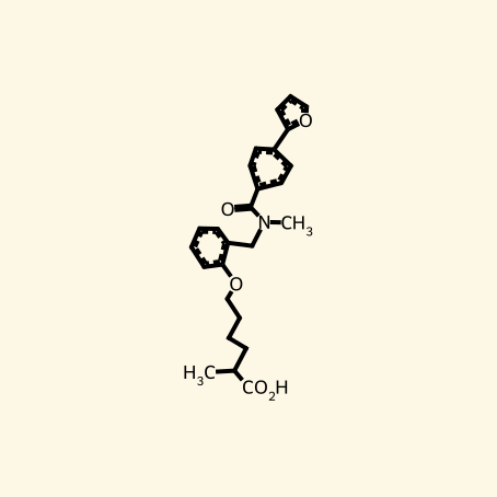 CC(CCCCOc1ccccc1CN(C)C(=O)c1ccc(-c2ccco2)cc1)C(=O)O